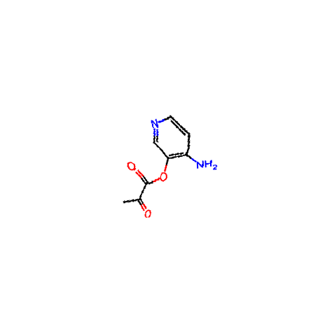 CC(=O)C(=O)Oc1cnccc1N